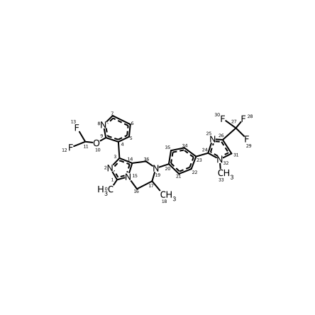 Cc1nc(-c2cccnc2OC(F)F)c2n1CC(C)N(c1ccc(-c3nc(C(F)(F)F)cn3C)cc1)C2